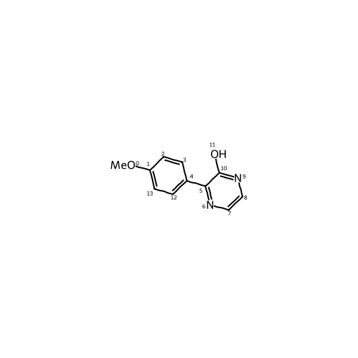 COc1ccc(-c2nccnc2O)cc1